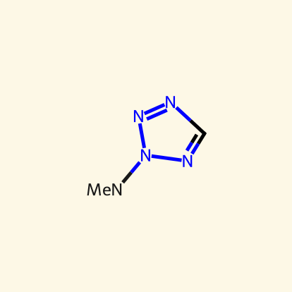 [CH2]Nn1ncnn1